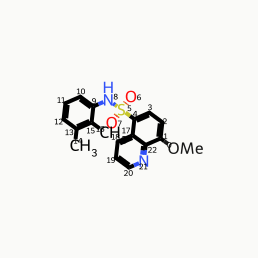 COc1ccc(S(=O)(=O)Nc2cccc(C)c2C)c2cccnc12